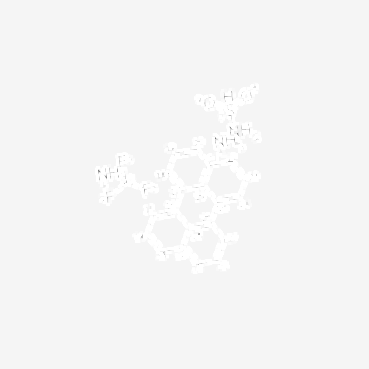 FC(F)F.N.N.N[SH](=O)=O.c1cc2cccc3c4cccc5cccc(c(c1)c23)c54